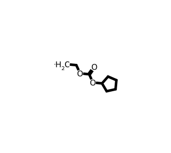 [CH2]COC(=O)OC1CCCC1